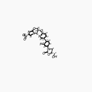 O=C1O[C@@H](CO)CN1c1ccc(-c2ccc(O[C@@H]3COc4nc([N+](=O)[O-])cn4C3)nc2)c(F)c1